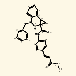 O=C(/C=C/c1ccc(NC(=O)C23CC2c2ccccc2C(Cc2cccnc2)N3)cc1)NO